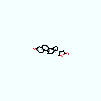 C[C@]12CC[C@H]3C(=C1CC[C@@H]2C1=CC(=O)OC1)CCC1CC(=O)CC[C@@]13C